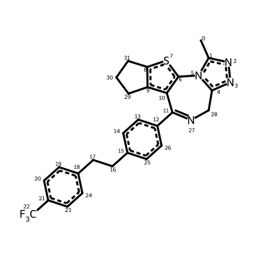 Cc1nnc2n1-c1sc3c(c1C(c1ccc(CCc4ccc(C(F)(F)F)cc4)cc1)=NC2)CCC3